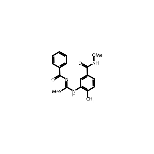 CONC(=O)c1ccc(C)c(NC(=NC(=O)c2ccccc2)SC)c1